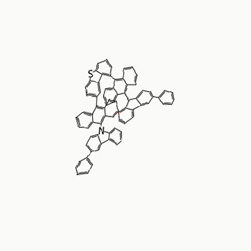 c1ccc(-c2ccc3c(c2)-c2ccccc2C3c2c3ccccc3c(-c3cccc4sc5ccc(-c6c7ccccc7c(-n7c8ccccc8c8cc(-c9ccccc9)ccc87)c7ccccc67)cc5c34)c3ccccc23)cc1